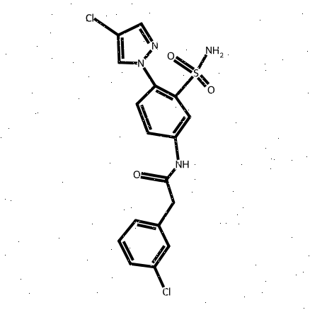 NS(=O)(=O)c1cc(NC(=O)Cc2cccc(Cl)c2)ccc1-n1cc(Cl)cn1